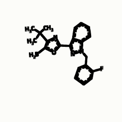 Bc1oc(-c2nn(Cc3ccccc3F)c3ccccc23)nc1C(C)(C)C